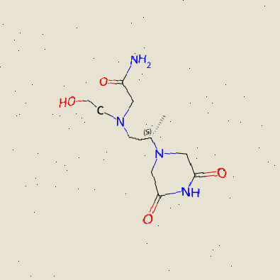 C[C@@H](CN(CCO)CC(N)=O)N1CC(=O)NC(=O)C1